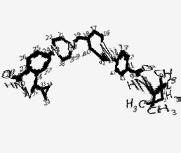 CC1(C)CC(C)(C)C1NC(=O)c1ccc(N2CCC(CN3CCN(c4ccc5c(=O)[nH]nc(C6CC6)c5c4)CC3)CC2)cc1